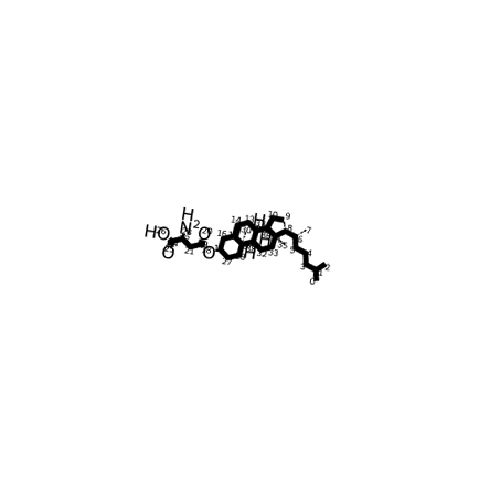 CC(C)CCC[C@@H](C)[C@H]1CC[C@H]2[C@@H]3CC=C4C[C@@H](OC(=O)C[C@H](N)C(=O)O)CC[C@]4(C)[C@H]3CC[C@]12C